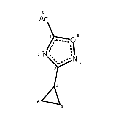 CC(=O)c1nc(C2CC2)no1